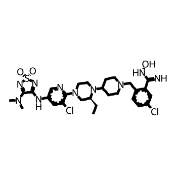 CC[C@H]1CN(c2ncc(NC3=NS(=O)(=O)N=C3N(C)C)cc2Cl)CCN1C1CCN(Cc2ccc(Cl)cc2C(=N)NO)CC1